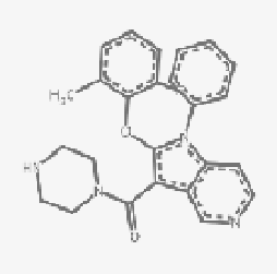 Cc1cccc(F)c1Oc1c(C(=O)N2CCNCC2)c2cnccc2n1-c1ccccc1